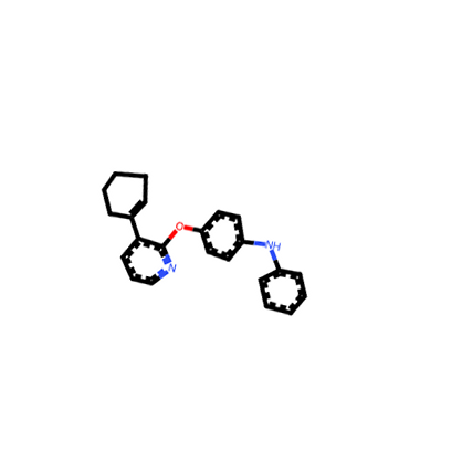 C1=C(c2cccnc2Oc2ccc(Nc3ccccc3)cc2)CCCC1